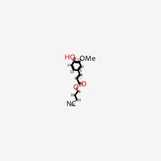 COc1cc(/C=C/C(=O)OCCCC#N)ccc1O